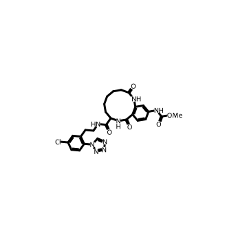 COC(=O)Nc1ccc2c(c1)NC(=O)CCCCCC(C(=O)NCCc1cc(Cl)ccc1-n1cnnn1)NC2=O